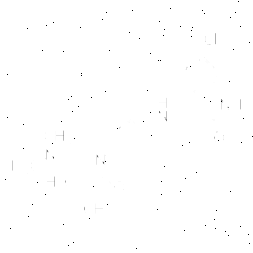 CC(C)C(=O)N(CCN(C)C)c1ccc(NC(=C2C(=O)Nc3cc(Cl)ccc32)c2ccccc2)cc1